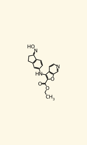 CCOC(=O)c1oc2cnccc2c1Nc1ccc2c(c1)CCC2=NO